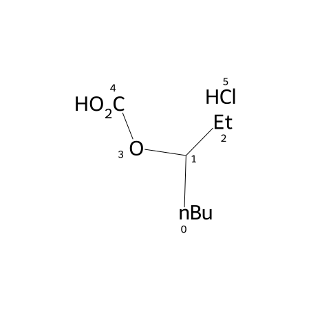 CCCCC(CC)OC(=O)O.Cl